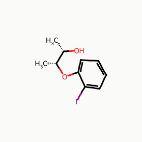 C[C@H](O)[C@@H](C)Oc1ccccc1I